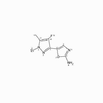 CCn1nc(-c2cnc(N)o2)c(F)c1C